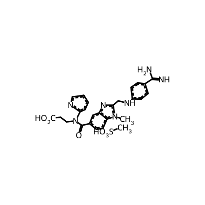 CS(=O)(=O)O.Cn1c(CNc2ccc(C(=N)N)cc2)nc2cc(C(=O)N(CCC(=O)O)c3ccccn3)ccc21